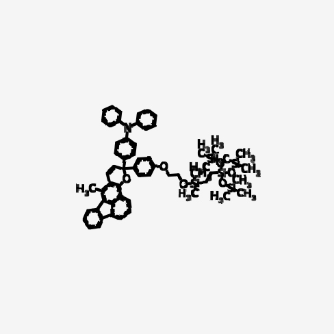 Cc1c2c(c3cccc4c3c1-c1ccccc1-4)OC(c1ccc(OCCO[Si](C)(C)CC[Si](O[Si](C)(C)C)(O[Si](C)(C)C)O[Si](C)(C)C)cc1)(c1ccc(N(c3ccccc3)c3ccccc3)cc1)C=C2